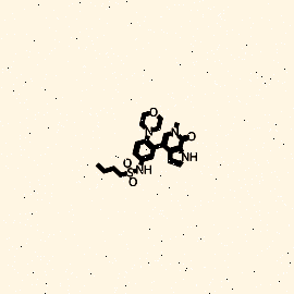 CCCCS(=O)(=O)Nc1ccc(N2CCOCC2)c(-c2cn(C)c(=O)c3[nH]ccc23)c1